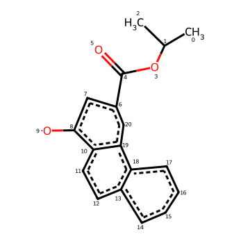 CC(C)OC(=O)c1cc([O])c2ccc3ccccc3c2c1